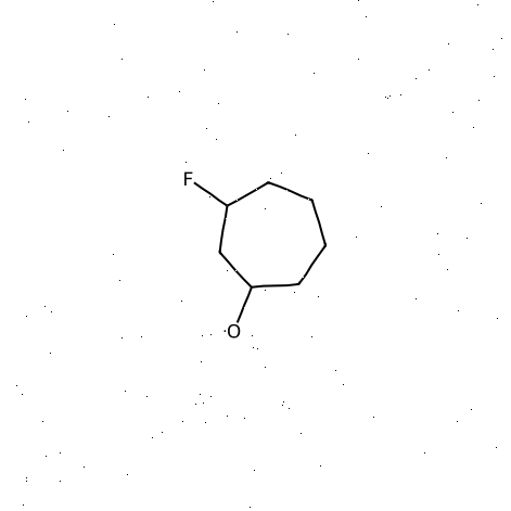 [O]C1CCCCC(F)C1